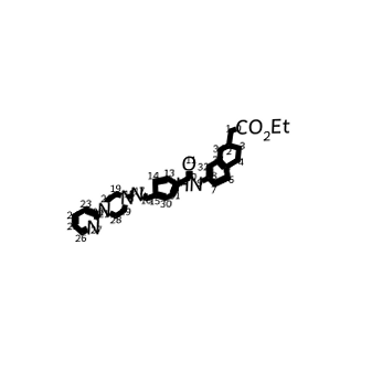 CCOC(=O)CC1CCc2ccc(NC(=O)c3ccc(C=NN4CCN(c5ccccn5)CC4)cc3)cc2C1